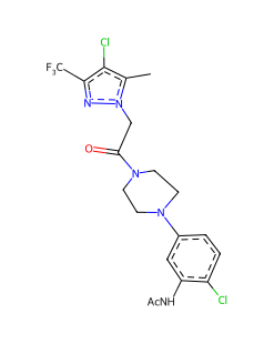 CC(=O)Nc1cc(N2CCN(C(=O)Cn3nc(C(F)(F)F)c(Cl)c3C)CC2)ccc1Cl